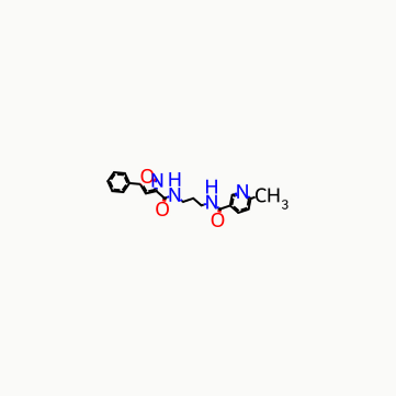 Cc1ccc(C(=O)NCCCNC(=O)c2cc(-c3ccccc3)on2)cn1